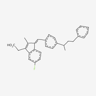 CC1=C(CC(=O)O)c2cc(F)ccc2/C1=C\c1ccc(C(C)CCc2ccccc2)cc1